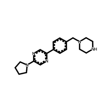 c1cc(-c2cnc(N3CCCC3)cn2)ccc1CN1CCNCC1